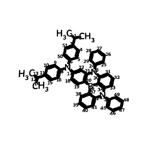 CC(C)c1ccc(N(c2ccc(C(C)C)cc2)c2ccc3c(c2)N(c2ccccc2)c2cccc4c2B3c2ccccc2N4c2ccccc2)cc1